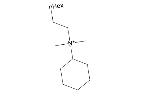 CCCCCCCC[N+](C)(C)C1CCCCC1